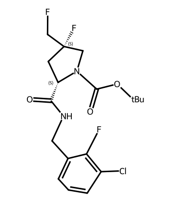 CC(C)(C)OC(=O)N1C[C@](F)(CF)C[C@H]1C(=O)NCc1cccc(Cl)c1F